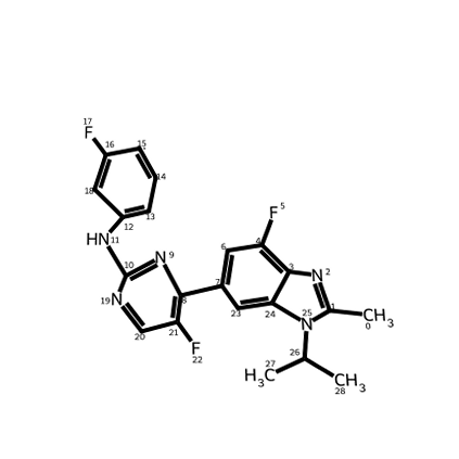 Cc1nc2c(F)cc(-c3nc(Nc4cc[c]c(F)c4)ncc3F)cc2n1C(C)C